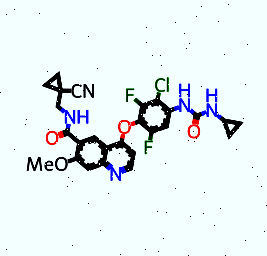 COc1cc2nccc(Oc3c(F)cc(NC(=O)NC4CC4)c(Cl)c3F)c2cc1C(=O)NCC1(C#N)CC1